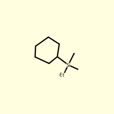 C[CH][Si](C)(C)C1CCCCC1